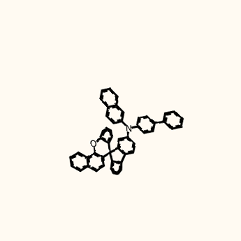 c1ccc(-c2ccc(N(c3ccc4c(c3)C3(c5ccccc5Oc5c3ccc3ccccc53)c3ccccc3-4)c3ccc4ccccc4c3)cc2)cc1